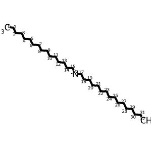 CCCCCCCCCCCCCCCC[N]CCCCCCCCCCCCCCCC